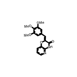 COc1cc(/C=C2\Oc3cccnc3NC2=O)cc(OC)c1OC